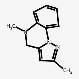 Cc1cc2n(n1)-c1ccccc1N(C)C2